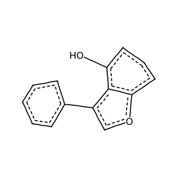 Oc1cccc2occ(-c3ccccc3)c12